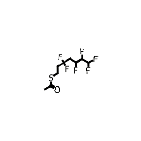 CC(=O)SCCC(F)(F)CC(F)C(F)C(F)F